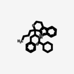 CCCCC1(C(Cc2ccccc2)NC(=O)C2CCCCC2)OCCc2c1[nH]c1ccccc21